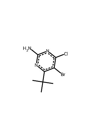 CC(C)(C)c1nc(N)nc(Cl)c1Br